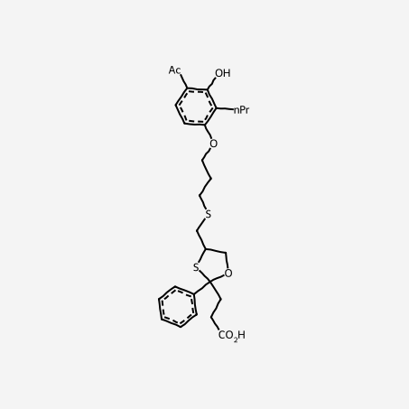 CCCc1c(OCCCSCC2COC(CCC(=O)O)(c3ccccc3)S2)ccc(C(C)=O)c1O